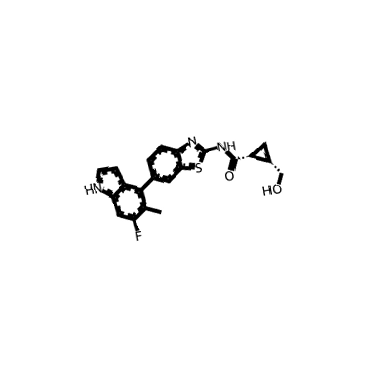 Cc1c(F)cc2[nH]ccc2c1-c1ccc2nc(NC(=O)[C@@H]3C[C@@H]3CO)sc2c1